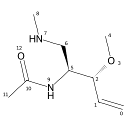 C=C[C@@H](OC)[C@H](CNC)NC(C)=O